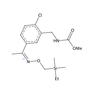 CC[Si](C)(C)CO/N=C(/C)c1ccc(Cl)c(CNC(=O)OC)c1